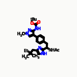 CCC(C)(C)Cc1c[nH]c(C(Cc2ccc(-c3cn(C)nc3NC(=O)OC(C)(C)C)cc2)NC(C)=O)n1